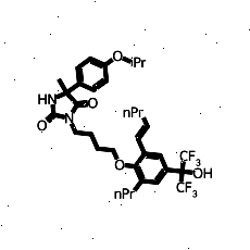 CCCC=Cc1cc(C(O)(C(F)(F)F)C(F)(F)F)cc(CCC)c1OCCCCN1C(=O)NC(C)(c2ccc(OC(C)C)cc2)C1=O